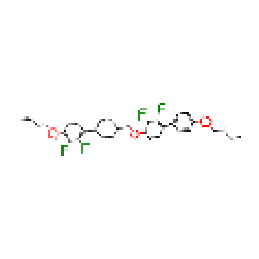 C=CCCOc1ccc(C2CCC(COc3ccc(-c4ccc(OCCCC)cc4)c(F)c3F)CC2)c(F)c1F